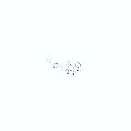 COc1cc(N2C(=O)Nc3c(C(=O)Nc4ccc(CN5CCOCC5)cc4)sc4ncc(C#N)c2c34)c(CI)cc1CI